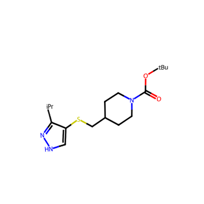 CC(C)c1n[nH]cc1SCC1CCN(C(=O)OC(C)(C)C)CC1